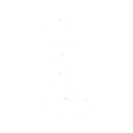 Cc1nc(C)c(S(=O)(=O)N2CCN([C@@H](CC3CCCCC3)C(=O)Nc3nccs3)C(=O)C2)s1